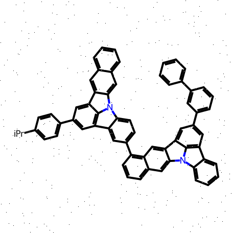 CC(C)c1ccc(-c2cc3c4cc(-c5cccc6cc7c(cc56)c5cc(-c6cccc(-c8ccccc8)c6)cc6c8ccccc8n7c65)ccc4n4c5cc6ccccc6cc5c(c2)c34)cc1